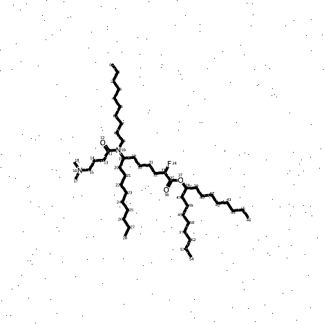 CCCCCCCCCCN(C(=O)CCCN(C)C)C(CCCCCCCCC)CCCCC(F)C(=O)OC(CCCCCCCC)CCCCCCCC